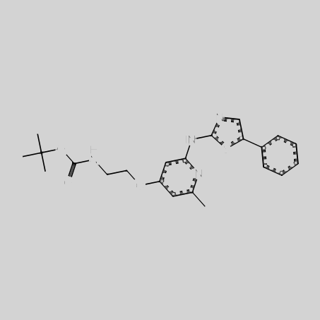 Cc1cc(OCCNC(=O)OC(C)(C)C)cc(Nc2ncc(-c3ccccc3)s2)n1